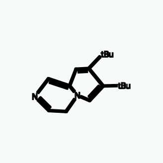 CC(C)(C)C1=CC2=CN=CCN2C=C1C(C)(C)C